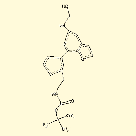 CC(C)(C)OC(=O)NCc1cccc(-c2cc(NCO)cc3ccoc23)c1